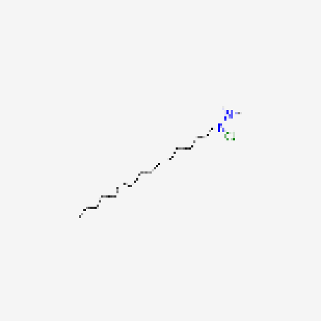 CCCCCCCCCCCCCCCCN(Cl)N(C)C